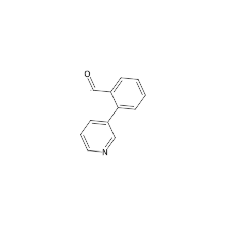 O=[C]c1ccccc1-c1cccnc1